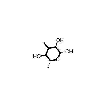 CC1[C@@H](O)[C@H](O)O[C@H](C)[C@H]1O